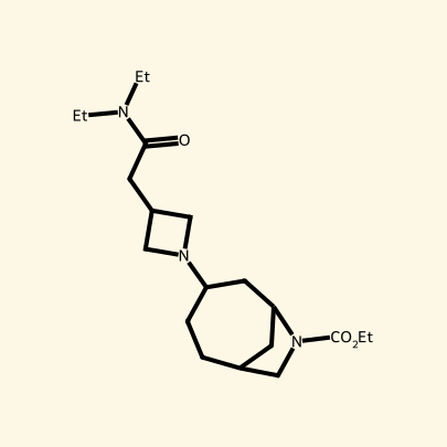 CCOC(=O)N1CC2CCC(N3CC(CC(=O)N(CC)CC)C3)CC1C2